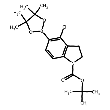 CC(C)(C)OC(=O)N1CCc2c1ccc(B1OC(C)(C)C(C)(C)O1)c2Cl